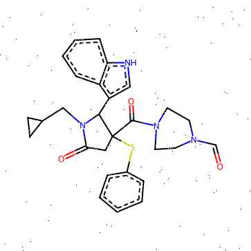 O=CN1CCN(C(=O)C2(Sc3ccccc3)CC(=O)N(CC3CC3)C2c2c[nH]c3ccccc23)CC1